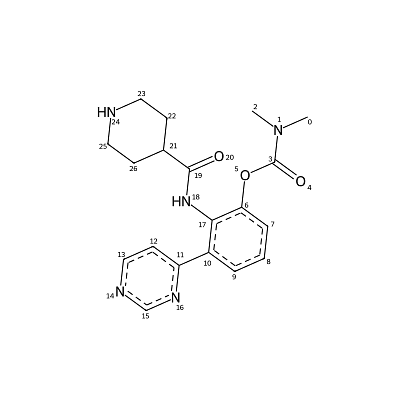 CN(C)C(=O)Oc1cccc(-c2ccncn2)c1NC(=O)C1CCNCC1